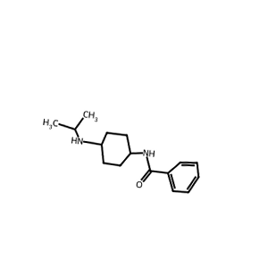 CC(C)NC1CCC(NC(=O)c2ccccc2)CC1